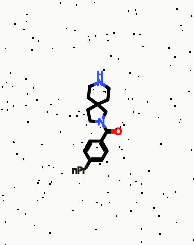 CCCc1ccc(C(=O)N2CCC3(CCNCC3)C2)cc1